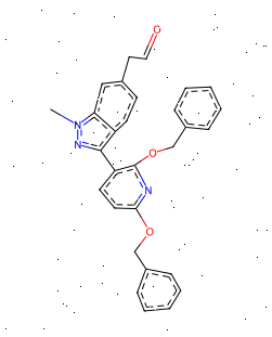 Cn1nc(-c2ccc(OCc3ccccc3)nc2OCc2ccccc2)c2ccc(CC=O)cc21